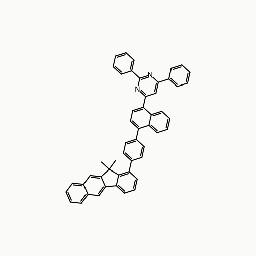 CC1(C)c2cc3ccccc3cc2-c2cccc(-c3ccc(-c4ccc(-c5cc(-c6ccccc6)nc(-c6ccccc6)n5)c5ccccc45)cc3)c21